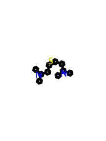 c1ccc(-c2cc(-c3cccc(-c4ccc5sc6ccc(-c7cccc(-c8cc(-c9ccccc9)nc(-c9ccccc9)c8)c7)cc6c5c4)c3)cc(-c3ccccc3)n2)cc1